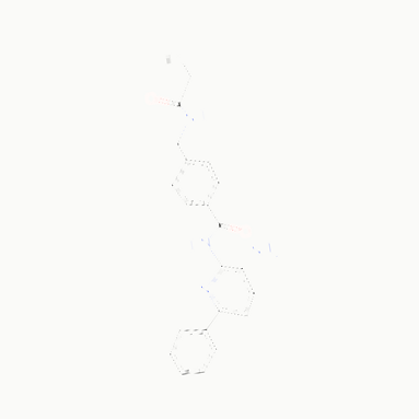 CC(C)CC(=O)NCc1ccc(C(=O)Nc2nc(-c3ccccc3)ccc2N)cc1